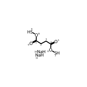 O=C(CCC(=O)OS)OS.[NaH].[NaH]